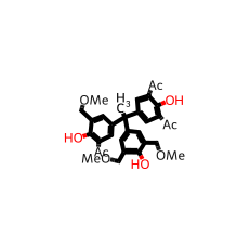 COCc1cc(C(C)(c2cc(COC)c(O)c(C(C)=O)c2)c2cc(C(C)=O)c(O)c(C(C)=O)c2)cc(COC)c1O